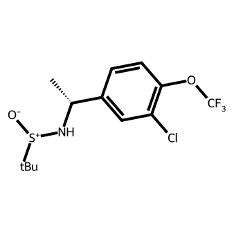 C[C@@H](N[S+]([O-])C(C)(C)C)c1ccc(OC(F)(F)F)c(Cl)c1